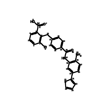 CCc1cccc([PH](=O)O)c1Cc1ccc(C(=O)Nc2cc(-c3cccs3)ccc2N)cc1